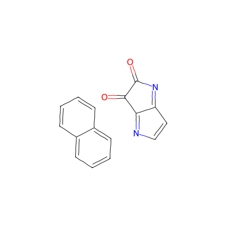 O=c1nc2ccnc-2c1=O.c1ccc2ccccc2c1